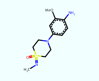 CN=S1(=O)CCN(c2ccc(N)c(OC)c2)CC1